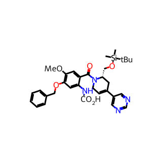 COc1cc(C(=O)N2CC=C(c3cncnc3)C[C@H]2CO[Si](C)(C)C(C)(C)C)c(NC(=O)O)cc1OCc1ccccc1